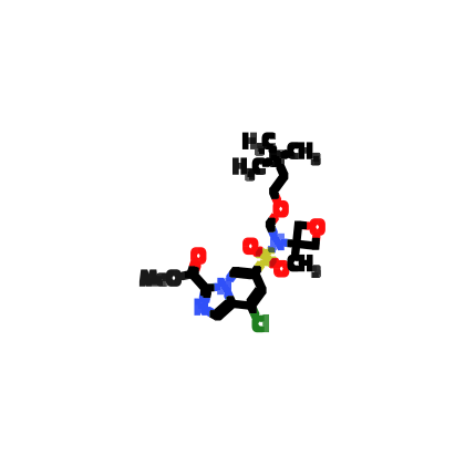 COC(=O)c1ncc2c(Cl)cc(S(=O)(=O)N(COCC[Si](C)(C)C)C3(C)COC3)cn12